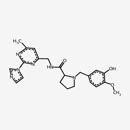 COc1ccc(CN2CCCC2C(=O)NCc2cc(C)nc(-n3ccnc3)n2)cc1O